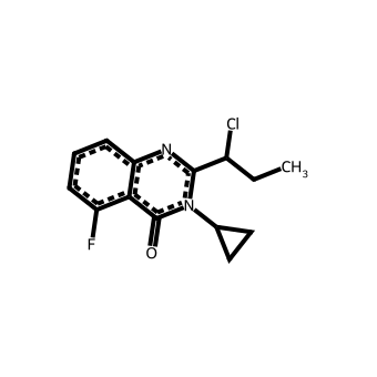 CCC(Cl)c1nc2cccc(F)c2c(=O)n1C1CC1